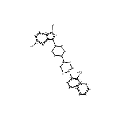 Cn1cc(C2CCC(N3CCN(c4ccc5cccnc5c4Cl)CC3)CC2)c2cc(F)ccc21